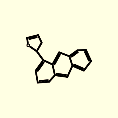 C1=COC(c2cccc3cc4ccccc4cc23)C1